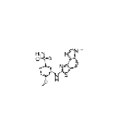 COc1ccc(S(N)(=O)=O)cc1Nc1nc2c(ccc3c2ncn3C)s1